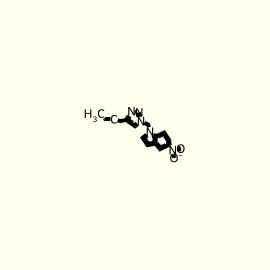 CCCCc1cn(Cn2ccc3cc([N+](=O)[O-])ccc32)nn1